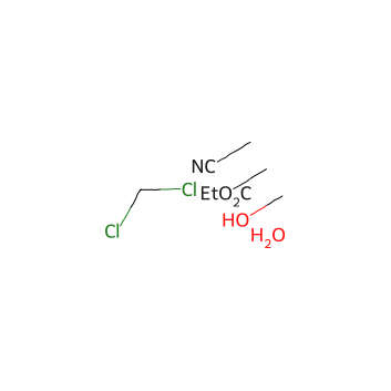 CC#N.CCOC(C)=O.CO.ClCCl.O